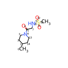 CC1CCN(C(=O)CNS(C)(=O)=O)CC1